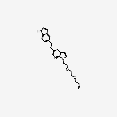 FCCOCCOCCN1C=CC2CC(CCc3cnc4[nH]ccc4c3)=CN=C21